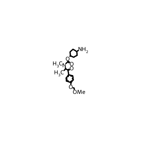 COCOc1ccc(C(=O)C(C)N(C)C(=O)OC2CCC(N)CC2)cc1